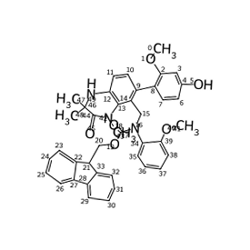 COc1cc(O)ccc1-c1ccc2c(c1CN(C(=O)OCC1c3ccccc3-c3ccccc31)c1ccccc1OC)N(C)C(=O)C(C)(C)N2